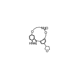 O=C1NCCCOc2ccc3[nH]nc(c3c2)-c2cc(cc(C3CCOC3)c2)CO1